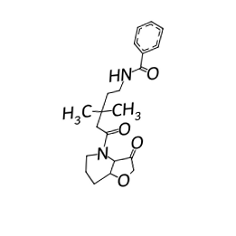 CC(C)(CCNC(=O)c1ccccc1)CC(=O)N1CCCC2OCC(=O)C21